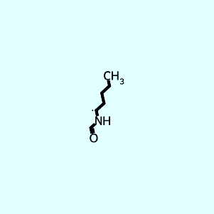 CCCC[CH]NC=O